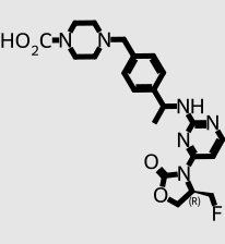 CC(Nc1nccc(N2C(=O)OC[C@@H]2CF)n1)c1ccc(CN2CCN(C(=O)O)CC2)cc1